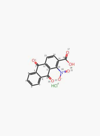 Cl.O=C1c2ccccc2C(=O)c2c1ccc(C(=O)O)c2[N+](=O)[O-]